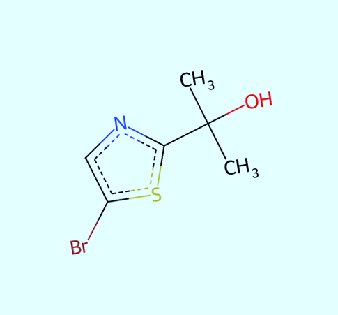 CC(C)(O)c1ncc(Br)s1